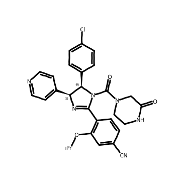 CC(C)Oc1cc(C#N)ccc1C1=N[C@@H](c2ccncc2)[C@@H](c2ccc(Cl)cc2)N1C(=O)N1CCNC(=O)C1